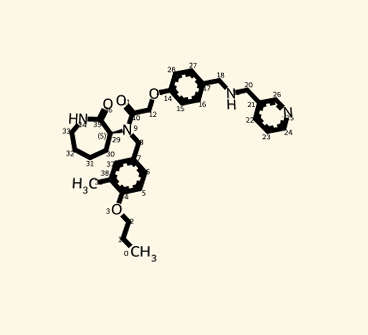 CCCOc1ccc(CN(C(=O)COc2ccc(CNCc3cccnc3)cc2)[C@H]2CCCCNC2=O)cc1C